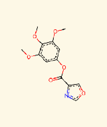 COc1cc(OC(=O)c2cocn2)cc(OC)c1OC